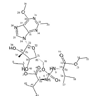 CCOC(=O)[C@@H](NP(=O)(N[C@H](C(=O)OCC)C(C)C)OC[C@H]1O[C@@H](n2cnc3c(OC)nc(C)nc32)[C@@](C)(O)C1O)C(C)C